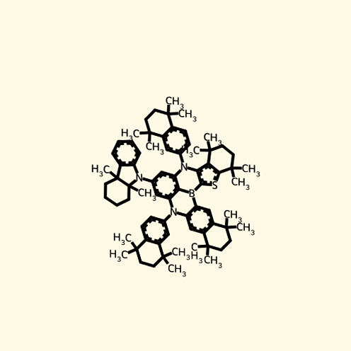 CC1(C)CCC(C)(C)c2cc(N3c4cc5c(cc4B4c6sc7c(c6N(c6ccc8c(c6)C(C)(C)CCC8(C)C)c6cc(N8c9ccccc9C9(C)CCCCC89C)cc3c64)C(C)(C)CCC7(C)C)C(C)(C)CCC5(C)C)ccc21